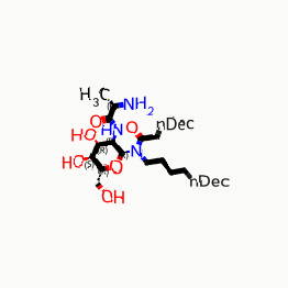 CCCCCCCCCCCCCCN(C(=O)CCCCCCCCCCC)[C@@H]1O[C@H](CO)[C@@H](O)[C@H](O)[C@H]1NC(=O)[C@@H](C)N